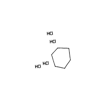 C1CCCCC1.Cl.Cl.Cl.Cl